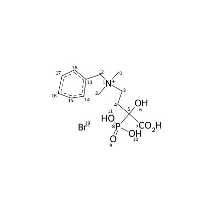 C[N+](C)(CCC(O)(C(=O)O)P(=O)(O)O)Cc1ccccc1.[Br-]